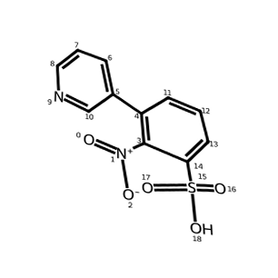 O=[N+]([O-])c1c(-c2cccnc2)cccc1S(=O)(=O)O